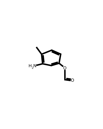 Cc1ccc(OC=O)cc1N